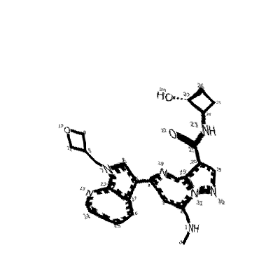 CNc1cc(-c2cn(C3COC3)c3ncccc23)nc2c(C(=O)NC3CC[C@H]3O)cnn12